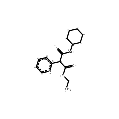 CCOC(=O)C(C(=S)NC1CCCCC1)c1ccccn1